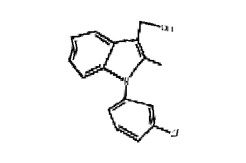 Cc1c(CO)c2ccccc2n1-c1cccc(Cl)c1